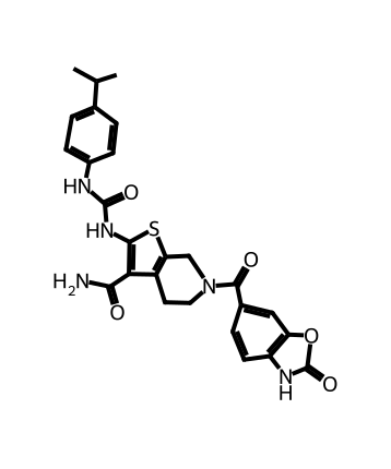 CC(C)c1ccc(NC(=O)Nc2sc3c(c2C(N)=O)CCN(C(=O)c2ccc4[nH]c(=O)oc4c2)C3)cc1